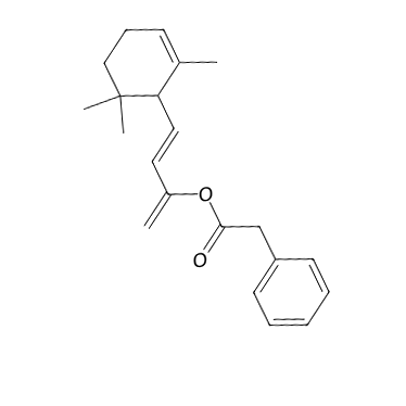 C=C(C=CC1C(C)=CCCC1(C)C)OC(=O)Cc1ccccc1